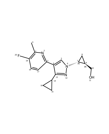 Cc1nc(-c2cn([C@@H]3C[C@H]3CO)nc2C2CC2)ccc1F